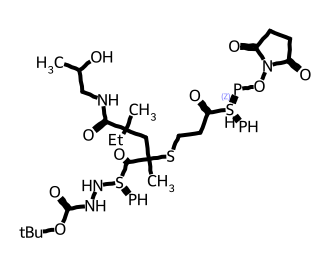 CCC(C)(CC(C)(SCCC(=O)/[SH](=P)=P/ON1C(=O)CCC1=O)C(=O)S(=P)NNC(=O)OC(C)(C)C)C(=O)NCC(C)O